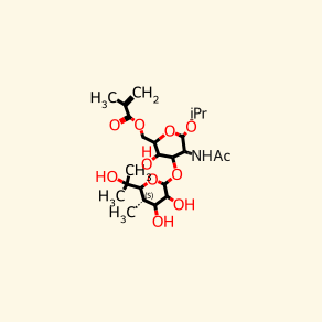 C=C(C)C(=O)OCC1OC(OC(C)C)C(NC(C)=O)C(OC2OC(C(C)(C)O)[C@@H](C)C(O)C2O)C1O